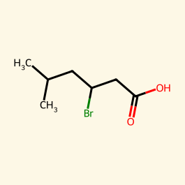 CC(C)CC(Br)CC(=O)O